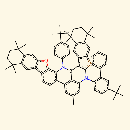 Cc1cc2c3c(c1)N(c1ccc(C(C)(C)C)cc1-c1ccccc1)c1sc4cc5c(cc4c1B3N(c1ccc(C(C)(C)C)cc1)c1c-2ccc2c1oc1cc3c(cc12)C(C)(C)CCC3(C)C)C(C)(C)CCC5(C)C